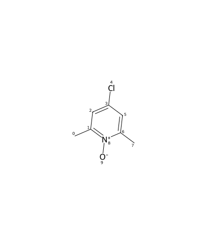 Cc1cc(Cl)cc(C)[n+]1[O-]